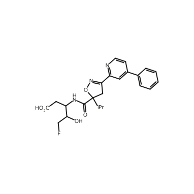 CC(C)C1(C(=O)NC(CC(=O)O)C(O)CF)CC(c2cc(-c3ccccc3)ccn2)=NO1